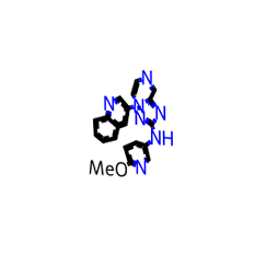 COc1ccc(NC2=N[N+]3(c4cnc5ccccc5c4)C=CN=CC3=N2)cn1